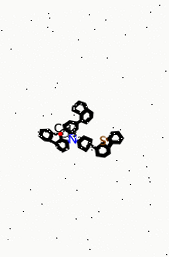 CC1(C)c2ccccc2-c2cccc(N(c3ccc(-c4cccc5c4sc4ccccc45)cc3)c3cccc(-c4cccc5ccccc45)c3)c21